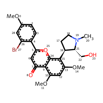 COc1ccc(-c2cc(=O)c3c(OC)cc(OC)c([C@H]4CCN(C)[C@@H]4CO)c3o2)c(Br)c1